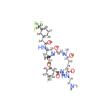 CN(C)CCNC(=O)[C@@H]1CCC(=O)N(C)CC(=O)N2C[C@@H](NC(=O)Cc3cccc(C(F)(F)F)c3)C[C@H]2COc2ccc(F)cc2C(=O)N1C